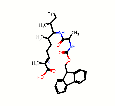 CCC(C)C(NC(=O)C(C)NC(=O)OCC1c2ccccc2-c2ccccc21)C(C)CC/C=C(\C)C(=O)O